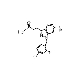 O=C(O)CCc1nn(Cc2ccc(Cl)cc2F)c2cc(CF)ccc12